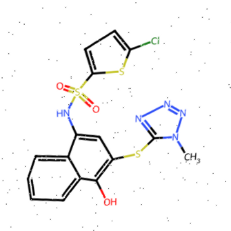 Cn1nnnc1Sc1cc(NS(=O)(=O)c2ccc(Cl)s2)c2ccccc2c1O